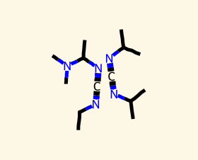 CC(C)N=C=NC(C)C.CCN=C=NC(C)N(C)C